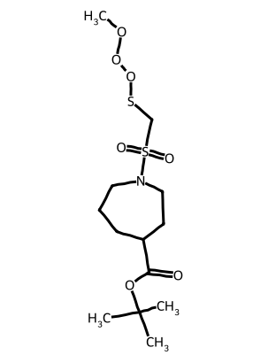 COOOSCS(=O)(=O)N1CCCC(C(=O)OC(C)(C)C)CC1